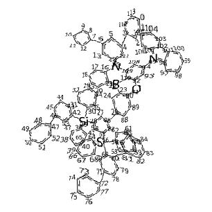 c1ccc(-c2cc(-c3ccccc3)cc(N3c4ccccc4B4c5cc(-c6cc([Si](c7ccccc7)(c7ccccc7)c7cccc(-c8ccccc8)c7)cc([Si](c7ccccc7)(c7ccccc7)c7cc(-c8ccccc8)ccc7-c7ccccc7)c6)ccc5Oc5cc(-n6c7ccccc7c7ccccc76)cc3c54)c2)cc1